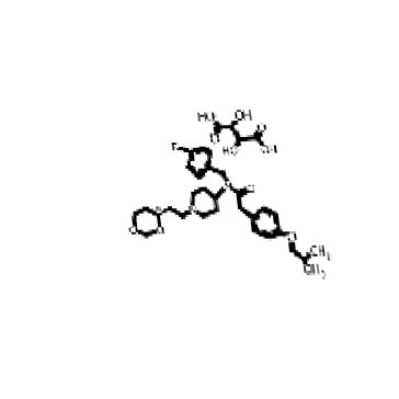 CC(C)COc1ccc(CC(=O)N(Cc2ccc(F)cc2)C2CCN(CC[C@@H]3CCOCO3)CC2)cc1.O=C(O)C(O)C(O)C(=O)O